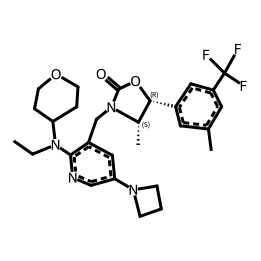 CCN(c1ncc(N2CCC2)cc1CN1C(=O)O[C@H](c2cc(C)cc(C(F)(F)F)c2)[C@@H]1C)C1CCOCC1